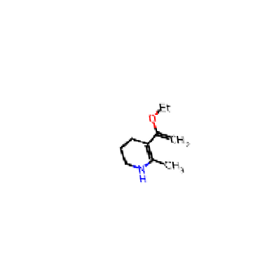 C=C(OCC)C1=C(C)NCCC1